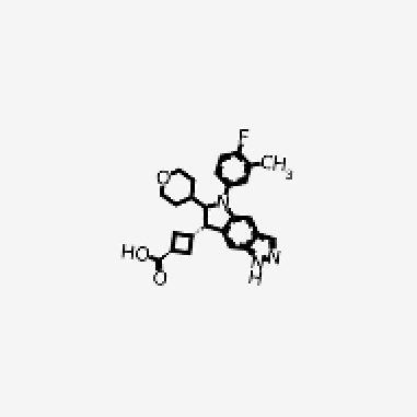 Cc1cc(N2c3cc4cn[nH]c4cc3C([C@H]3C[C@H](C(=O)O)C3)C2C2CCOCC2)ccc1F